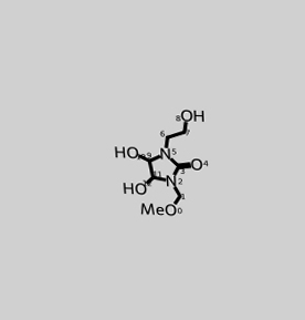 COCN1C(=O)N(CCO)C(O)C1O